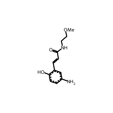 COCCNC(=O)C=Cc1cc(N)ccc1O